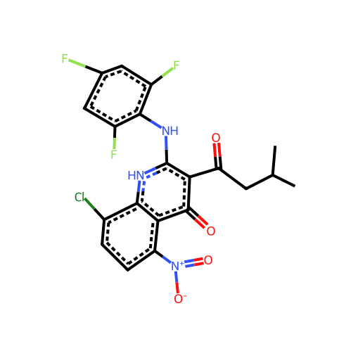 CC(C)CC(=O)c1c(Nc2c(F)cc(F)cc2F)[nH]c2c(Cl)ccc([N+](=O)[O-])c2c1=O